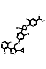 O=C(O)c1cnc(N2CC(O)(c3ccc(OCc4c(-c5c(Cl)cncc5Cl)noc4C4CC4)cc3Cl)C2)c(F)c1